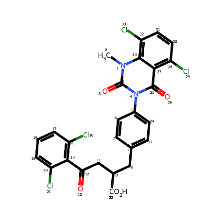 Cn1c(=O)n(-c2ccc(CC(CC(=O)c3c(Cl)cccc3Cl)C(=O)O)cc2)c(=O)c2c(Cl)ccc(Cl)c21